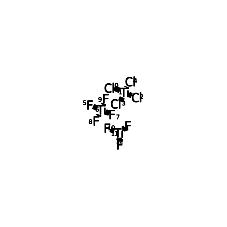 [Cl][Ti]([Cl])([Cl])[Cl].[F][Ti]([F])([F])[F].[F][Ti]([F])[F]